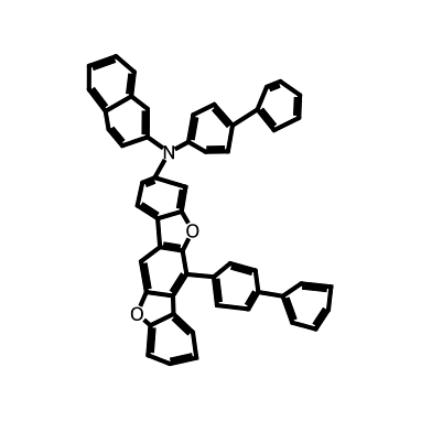 c1ccc(-c2ccc(-c3c4oc5cc(N(c6ccc(-c7ccccc7)cc6)c6ccc7ccccc7c6)ccc5c4cc4oc5ccccc5c34)cc2)cc1